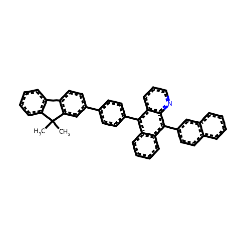 CC1(C)c2ccccc2-c2ccc(-c3ccc(-c4c5ccccc5c(-c5ccc6ccccc6c5)c5ncccc45)cc3)cc21